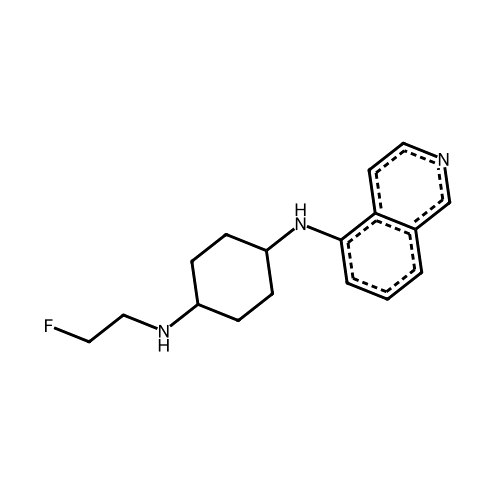 FCCNC1CCC(Nc2cccc3cnccc23)CC1